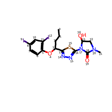 CCCC(Oc1ccc(I)cc1I)c1nnc(N2C(=O)N(C)CC2O)s1